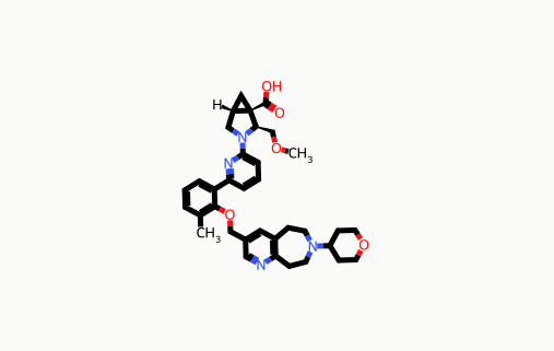 COC[C@H]1N(c2cccc(-c3cccc(C)c3OCc3cnc4c(c3)CCN(C3CCOCC3)CC4)n2)C[C@@H]2C[C@@]21C(=O)O